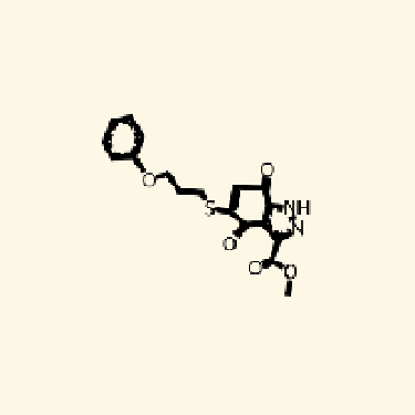 COC(=O)c1n[nH]c2c1C(=O)C(SCCCOc1ccccc1)=CC2=O